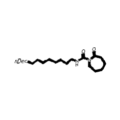 CCCCCCCCCCCCCCCCCCNC(=O)N1CCCCCC1=O